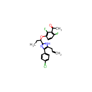 C=CCc1[nH]c(C(CC)Oc2ccc(F)c(C(C)=O)c2F)nc1-c1ccc(Cl)cc1